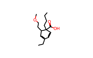 CCCCC1(C(=O)O)C=CC(CC)=CC1CCOC